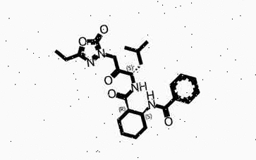 CCc1nn(CC(=O)[C@H](CC(C)C)NC(=O)[C@@H]2CCCC[C@@H]2NC(=O)c2ccccc2)c(=O)o1